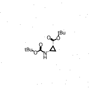 CC(C)(C)OC(=O)N[C@H]1C[C@H]1C(=O)OC(C)(C)C